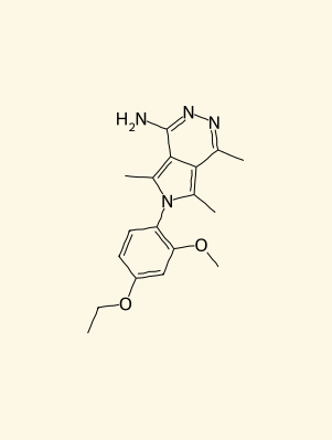 CCOc1ccc(-n2c(C)c3c(C)nnc(N)c3c2C)c(OC)c1